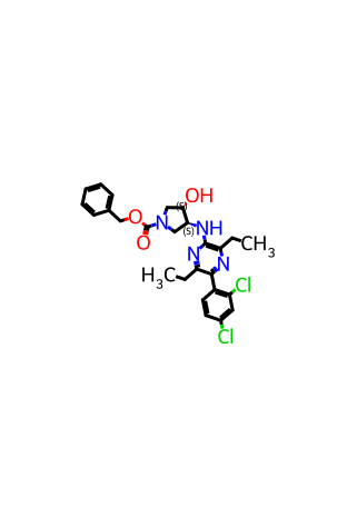 CCc1nc(-c2ccc(Cl)cc2Cl)c(CC)nc1N[C@H]1CN(C(=O)OCc2ccccc2)C[C@@H]1O